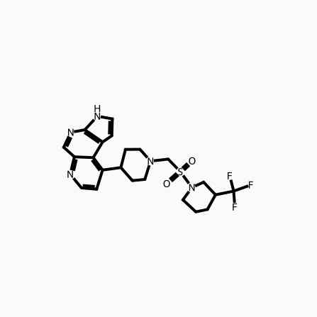 O=S(=O)(CN1CCC(c2ccnc3cnc4[nH]ccc4c23)CC1)N1CCCC(C(F)(F)F)C1